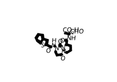 O=CC(CC(=O)O)NC(=O)C1CCCN2C(=O)CCN(NC(=O)c3cc4ccccc4s3)C(=O)N12